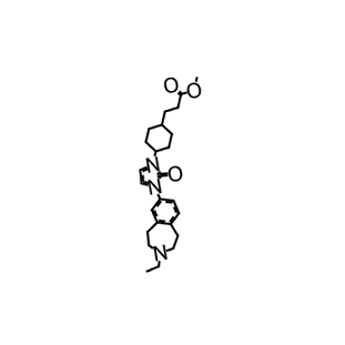 CCN1CCc2ccc(-n3ccn(C4CCC(CCC(=O)OC)CC4)c3=O)cc2CC1